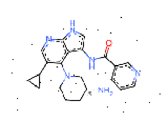 N[C@@H]1CCCN(c2c(C3CC3)cnc3[nH]cc(NC(=O)c4cccnc4)c23)C1